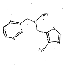 CCCN(Cc1cccnc1)Cc1s[c]nc1C(F)(F)F